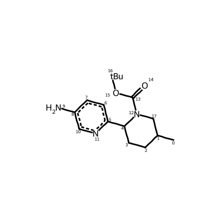 CC1CCC(c2ccc(N)cn2)N(C(=O)OC(C)(C)C)C1